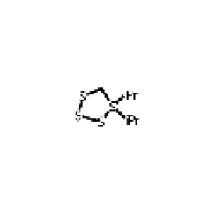 CC(C)S1(C(C)C)CSSS1